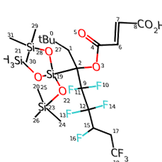 CC(C)(C)CC(OC(=O)C=CC(=O)O)(C(F)(F)C(F)(F)C(F)CC(F)(F)F)[Si](O[SiH3])(O[Si](C)(C)C)O[Si](C)(C)C